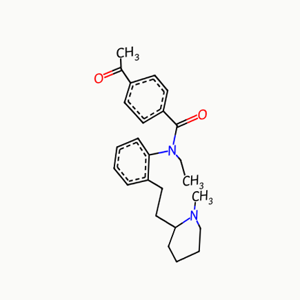 CCN(C(=O)c1ccc(C(C)=O)cc1)c1ccccc1CCC1CCCCN1C